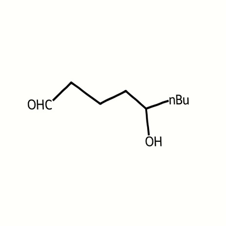 CCCCC(O)CCCC=O